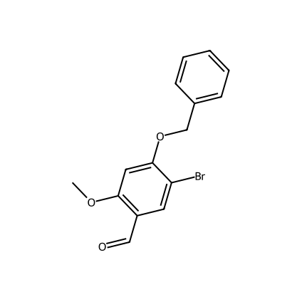 COc1cc(OCc2ccccc2)c(Br)cc1C=O